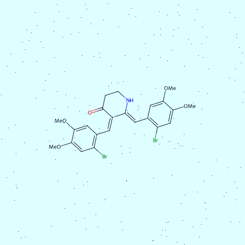 COc1cc(Br)c(C=C2NCCC(=O)C2=Cc2cc(OC)c(OC)cc2Br)cc1OC